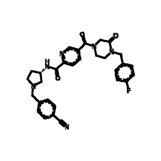 N#Cc1ccc(CN2CC[C@H](NC(=O)c3ccc(C(=O)N4CCN(Cc5ccc(F)cc5)C(=O)C4)cn3)C2)cc1